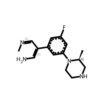 C/N=C\C(=C/N)c1cc(F)cc(N2CCNC[C@@H]2C)c1